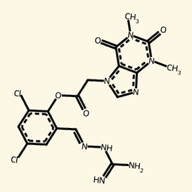 Cn1c(=O)c2c(ncn2CC(=O)Oc2c(Cl)cc(Cl)cc2C=NNC(=N)N)n(C)c1=O